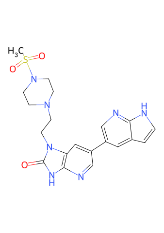 CS(=O)(=O)N1CCN(CCn2c(=O)[nH]c3ncc(-c4cnc5[nH]ccc5c4)cc32)CC1